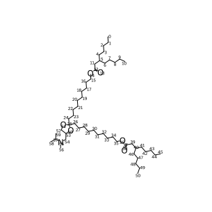 CCCCCC(CCCCC)CC(=O)OCCCCCCCCCCC1(CCCCCCCCCCOC(=O)CC(CCCCC)CCCCC)OCC(CN(C)C(C)C)O1